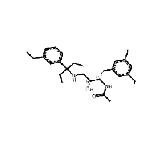 CCc1cccc(C(CC)(CC)NC[C@@H](O)[C@H](Cc2cc(F)cc(F)c2)NC(C)=O)c1